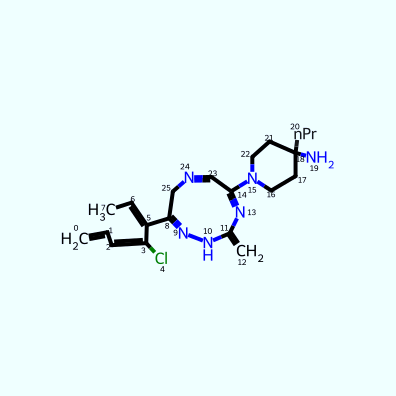 C=C\C=C(Cl)/C(=C\C)C1=N/NC(=C)/N=C(N2CCC(N)(CCC)CC2)\C=N/C\1